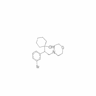 OC1(C(CN2CCOCC2)c2cccc(Br)c2)CCCCC1